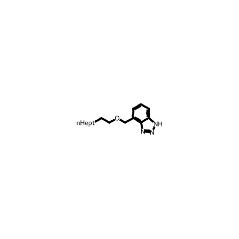 CCCCCCCCCOCc1cccc2[nH]nnc12